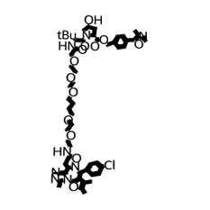 Cc1ncoc1-c1ccc(COC(=O)[C@@H]2C[C@@H](O)CN2C(=O)C(NC(=O)COCCOCCOCCCCOCCOCCNC(=O)CC2N=C(c3ccc(Cl)cc3)c3c(oc(C)c3C)-n3c(C)nnc32)C(C)(C)C)cc1